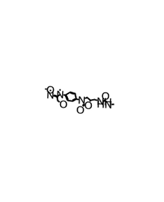 CNC(=O)NCC1CN(c2ccc3c(c2)OCC(=NOC)N3C)C(=O)O1